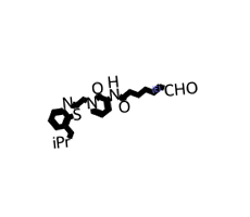 CC(C)Cc1cccc2nc(Cn3cccc(NC(=O)CCC/C=C/C=O)c3=O)sc12